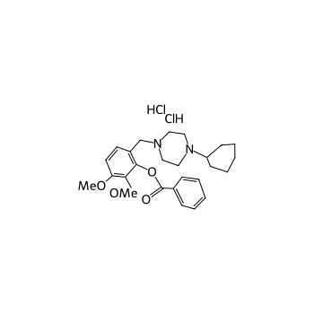 COc1ccc(CN2CCN(C3CCCCC3)CC2)c(OC(=O)c2ccccc2)c1OC.Cl.Cl